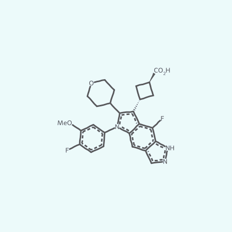 COc1cc(-n2c(C3CCOCC3)c([C@H]3C[C@H](C(=O)O)C3)c3c(F)c4[nH]ncc4cc32)ccc1F